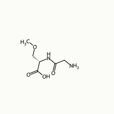 COC[C@H](NC(=O)CN)C(=O)O